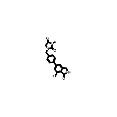 CN1C(=O)CN(Cc2ccc(-c3cc(Cl)c4c(c3)CNC4=O)cc2)C1=O